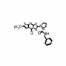 Cc1cc2c(=O)n3nc(N4CCC[C@@H]4C(=O)NCc4ccccc4)sc3nc2s1